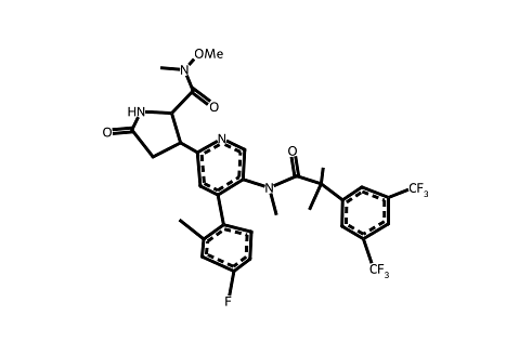 CON(C)C(=O)C1NC(=O)CC1c1cc(-c2ccc(F)cc2C)c(N(C)C(=O)C(C)(C)c2cc(C(F)(F)F)cc(C(F)(F)F)c2)cn1